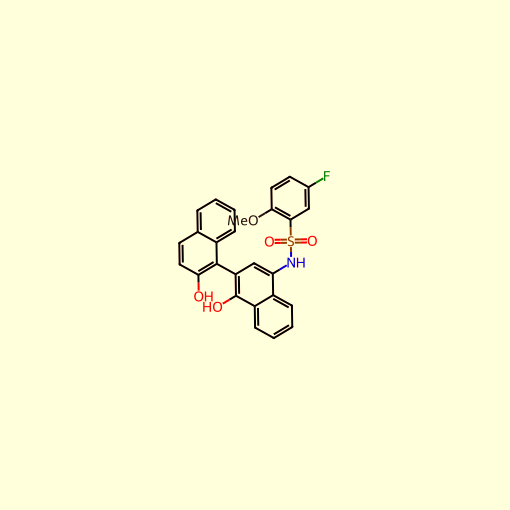 COc1ccc(F)cc1S(=O)(=O)Nc1cc(-c2c(O)ccc3ccccc23)c(O)c2ccccc12